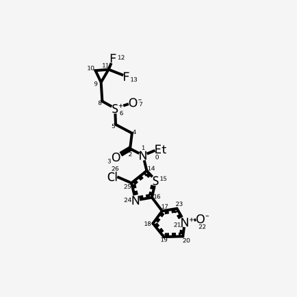 CCN(C(=O)CC[S+]([O-])CC1CC1(F)F)c1sc(-c2ccc[n+]([O-])c2)nc1Cl